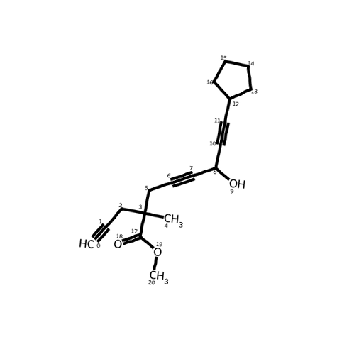 C#CCC(C)(CC#CC(O)C#CC1CCCC1)C(=O)OC